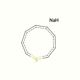 [NaH].c1ccccsccc1